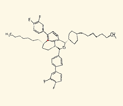 CCCCCCC[C@H]1CC[C@H](C(OC(c2ccc(-c3ccc(F)c(F)c3)cc2)[C@H]2CC[C@H](CCCCCCC)CC2)c2ccc(-c3ccc(F)c(F)c3)cc2)CC1